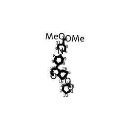 COC(OC)C1CCN(c2ccc(C3=CCOc4cc(OC5CCCCO5)ccc43)cc2)CC1